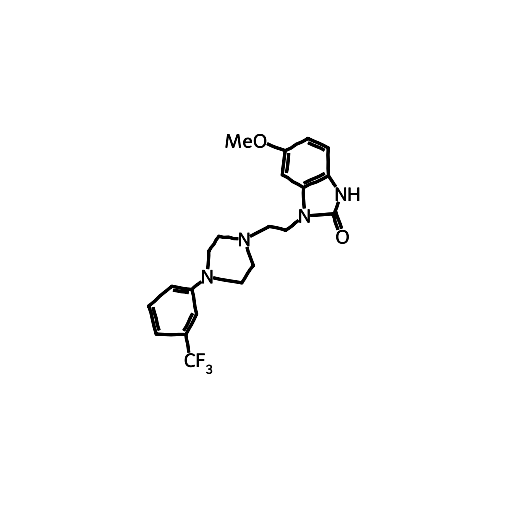 COc1ccc2[nH]c(=O)n(CCN3CCN(c4cccc(C(F)(F)F)c4)CC3)c2c1